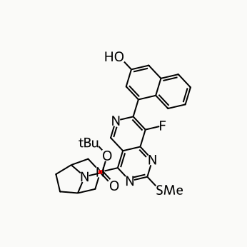 CSc1nc(N2CC3CCC(C2)N3C(=O)OC(C)(C)C)c2cnc(-c3cc(O)cc4ccccc34)c(F)c2n1